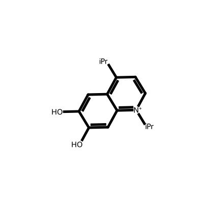 CC(C)c1cc[n+](C(C)C)c2cc(O)c(O)cc12